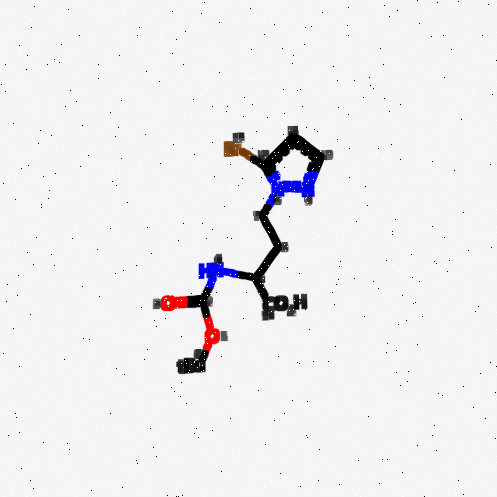 CC(C)(C)OC(=O)NC(CCn1nccc1Br)C(=O)O